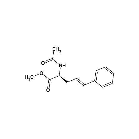 COC(=O)[C@H](C/C=C/c1ccccc1)NC(C)=O